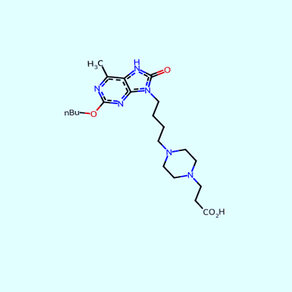 CCCCOc1nc(C)c2[nH]c(=O)n(CCCCN3CCN(CCC(=O)O)CC3)c2n1